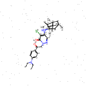 CCN(CC)c1ccc(C(=O)Cn2ncc(N[C@@H]3C[C@H]4C[C@H]([C@@H]3C)C4(C)C)c(Br)c2=O)cc1